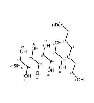 CCCCCCCCCCCCCOCCO.OCCO.OCCO.OCCO.OCCO.[SiH4]